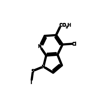 O=C(O)c1cnc2c(ccn2SI)c1Cl